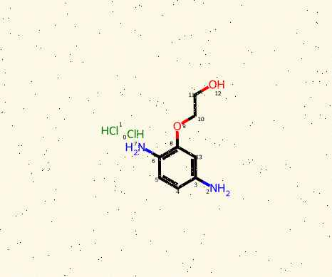 Cl.Cl.Nc1ccc(N)c(OCCO)c1